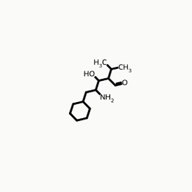 CC(C)C(C=O)C(O)C(N)CC1CCCCC1